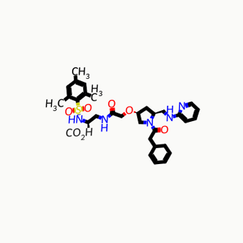 Cc1cc(C)c(S(=O)(=O)N[C@@H](CNC(=O)CO[C@@H]2C[C@@H](CNc3ccccn3)N(C(=O)CC3C=CC=CC3)C2)C(=O)O)c(C)c1